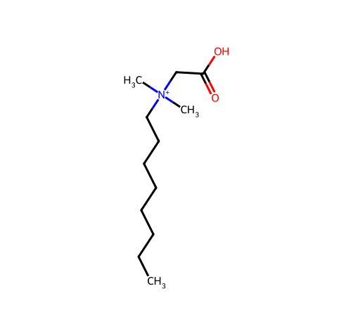 CCCCCCCC[N+](C)(C)CC(=O)O